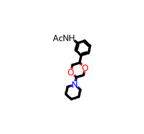 CC(=O)Nc1cccc(C2COC(N3CCCCC3)CO2)c1